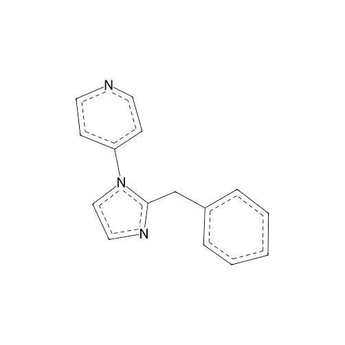 c1ccc(Cc2nccn2-c2ccncc2)cc1